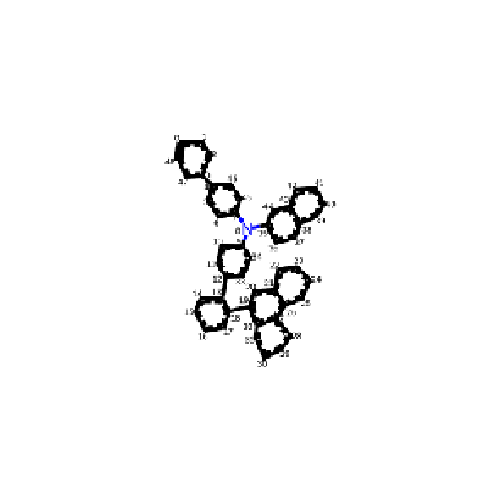 c1ccc(-c2ccc(N(c3ccc(-c4ccccc4-c4cc5ccccc5c5ccccc45)cc3)c3ccc4ccccc4c3)cc2)cc#1